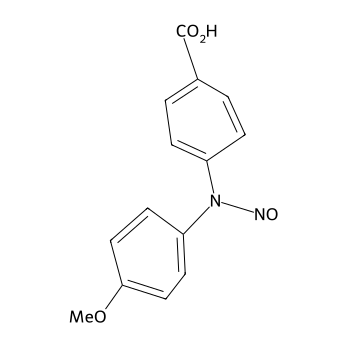 COc1ccc(N(N=O)c2ccc(C(=O)O)cc2)cc1